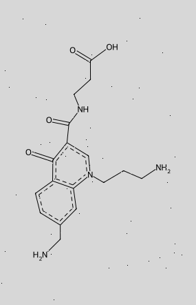 NCCCn1cc(C(=O)NCCC(=O)O)c(=O)c2ccc(CN)cc21